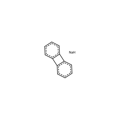 [NaH].c1ccc2c(c1)-c1ccccc1-2